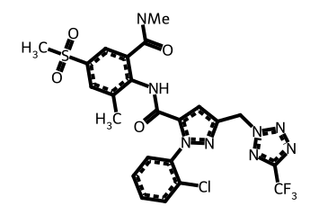 CNC(=O)c1cc(S(C)(=O)=O)cc(C)c1NC(=O)c1cc(Cn2nnc(C(F)(F)F)n2)nn1-c1ccccc1Cl